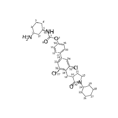 NC1CCCC(NC(=O)Oc2ccc(-c3cc(Cl)c(CC4CCN(C5CCCCC5)C4=O)c(Cl)c3)cc2)C1